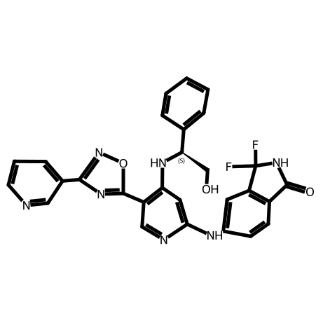 O=C1NC(F)(F)c2cc(Nc3cc(N[C@H](CO)c4ccccc4)c(-c4nc(-c5cccnc5)no4)cn3)ccc21